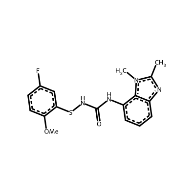 COc1ccc(F)cc1SNC(=O)Nc1cccc2nc(C)n(C)c12